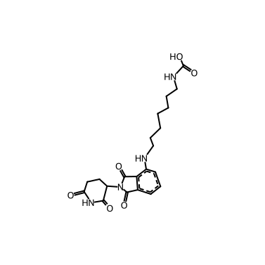 O=C(O)NCCCCCCCNc1cccc2c1C(=O)N(C1CCC(=O)NC1=O)C2=O